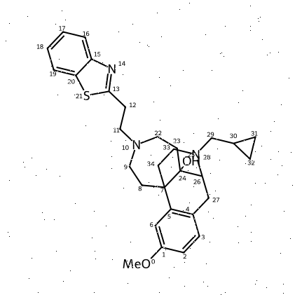 COc1ccc2c(c1)C13CCN(CCc4nc5ccccc5s4)CCC1(O)C(C2)N(CC1CC1)CC3